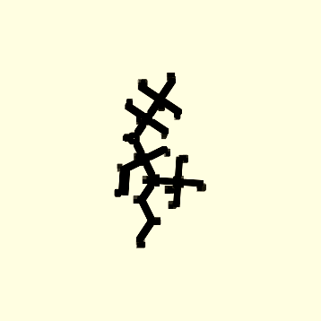 C=C[Si](C)(O[Si](C)(C)C(C)(C)C)N(CCC)[Si](C)(C)C